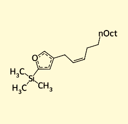 CCCCCCCCCC/C=C\Cc1coc([Si](C)(C)C)c1